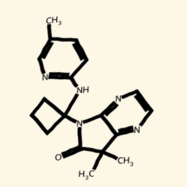 Cc1ccc(NC2(N3C(=O)C(C)(C)c4nccnc43)CCC2)nc1